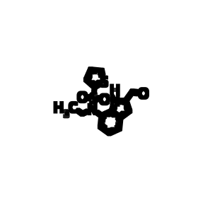 CCN(c1cccc2cc(C=O)[nH]c12)S(=O)(=O)c1cccs1